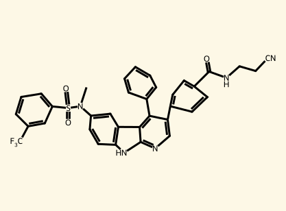 CN(c1ccc2[nH]c3ncc(-c4ccc(C(=O)NCCC#N)cc4)c(-c4ccccc4)c3c2c1)S(=O)(=O)c1cccc(C(F)(F)F)c1